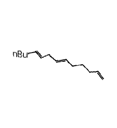 C=CCCCC=CCC=CCCCC